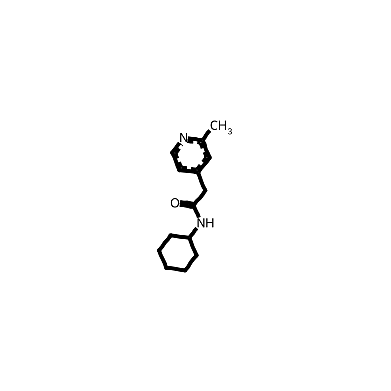 Cc1cc(CC(=O)NC2CCCCC2)ccn1